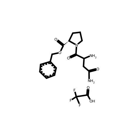 NC(=O)CC(N)C(=O)N1CCC[C@H]1C(=O)OCc1ccccc1.O=C(O)C(F)(F)F